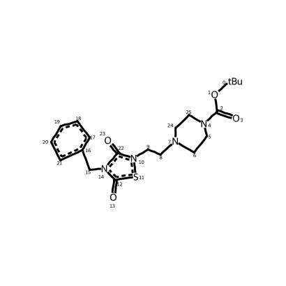 CC(C)(C)OC(=O)N1CCN(CCn2sc(=O)n(Cc3ccccc3)c2=O)CC1